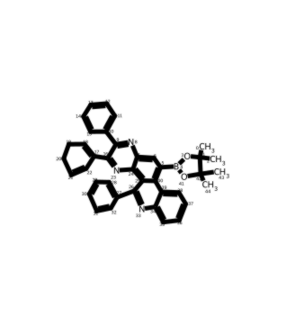 CC1(C)OB(c2cc3nc(-c4ccccc4)c(C4=CCCC=C4)nc3c3c(-c4ccccc4)nc4ccccc4c23)OC1(C)C